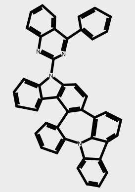 c1ccc(-c2nc(-n3c4ccccc4c4c5c(ccc43)-c3cccc4c6ccccc6n(c34)-c3ccccc3-5)nc3ccccc23)cc1